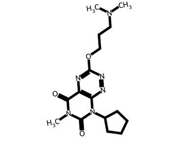 CN(C)CCCOc1nnc2c(n1)c(=O)n(C)c(=O)n2C1CCCC1